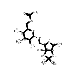 CC(=O)OCC1O[C@H](OC[C@H]2OC(O)C3OC(C)(C)O[C@@H]32)C(C)[C@@H](C)[C@H]1C